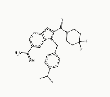 CC(C)c1ccc(Cn2c(C(=O)N3CCC(F)(F)CC3)cc3ccc(C(=N)N)cc32)cc1